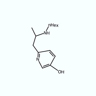 CCCCCCNC(C)Cc1ccc(O)cn1